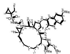 COC[C@@H]1C[C@H](C)CC/C=C\[C@@H]2C[C@@]2(C(=O)NS(=O)(=O)C2(CF)CC2)NC(=O)[C@@H]2C[C@@H](Oc3nc4cc(OC)ccc4nc3C(F)(F)F)CN2C(=O)[C@H]1NC(=O)OC(C)(C)C